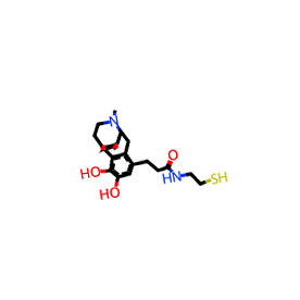 CN1CCC23CCC=CC2C1Cc1c(CCC(=O)NCCS)cc(O)c(O)c13